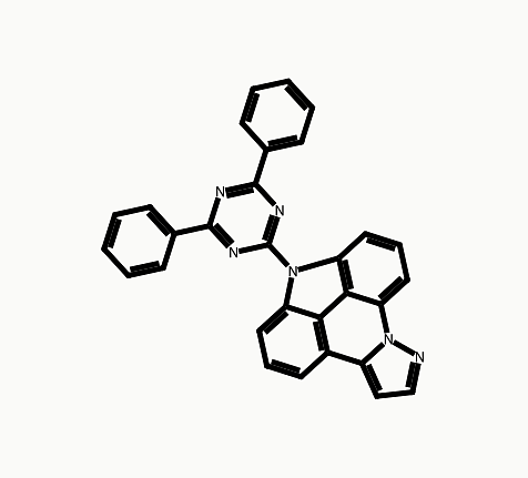 c1ccc(-c2nc(-c3ccccc3)nc(-n3c4cccc5c4c4c3cccc4n3nccc53)n2)cc1